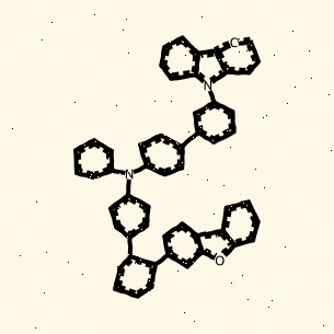 c1ccc(N(c2ccc(-c3cccc(-n4c5ccccc5c5ccccc54)c3)cc2)c2ccc(-c3ccccc3-c3ccc4c(c3)oc3ccccc34)cc2)cc1